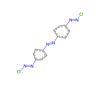 ClN=Nc1ccc(N=Nc2ccc(N=NCl)cc2)cc1